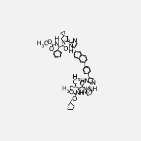 COC(=O)NC(C(=O)N1CC2(CC2)C[C@H]1c1ncc(-c2ccc3cc(-c4ccc(-c5cnc([C@@H]6[C@H]7CC[C@H](C7)N6C(=O)[C@@H](NC(=O)OCC6CCCC6)C(C)C)[nH]5)cc4)ccc3c2)[nH]1)c1ccccc1